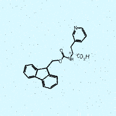 O=C(N[C@H](Cc1cccnc1)C(=O)O)OCC1c2ccccc2-c2ccccc21